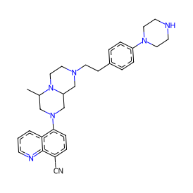 CC1CN(c2ccc(C#N)c3ncccc23)CC2CN(CCc3ccc(N4CCNCC4)cc3)CCN12